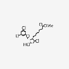 COC(=O)CCCCCC[C@@H]1[C@@H](COc2cc(Cl)cc(Cl)c2)[C@H](O)C[C@@H]1Cl